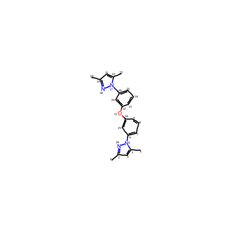 Cc1cc(C)n(-c2cccc(Oc3cccc(-n4nc(C)cc4C)c3)c2)n1